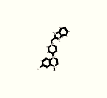 CN1C=CN(C2CCN(Cc3nc4ccccc4s3)CC2)c2ccc(F)cc21